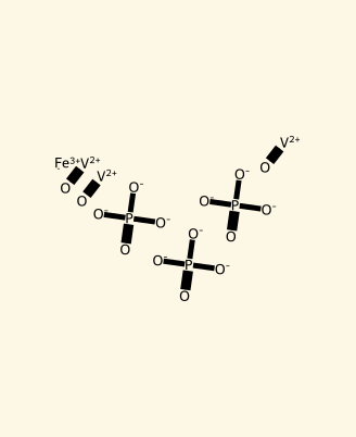 O=P([O-])([O-])[O-].O=P([O-])([O-])[O-].O=P([O-])([O-])[O-].[Fe+3].[O]=[V+2].[O]=[V+2].[O]=[V+2]